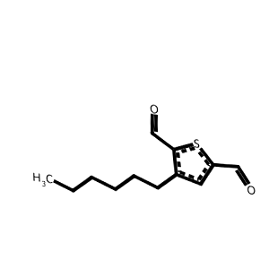 CCCCCCc1cc(C=O)sc1C=O